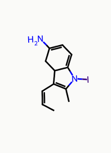 C/C=C\C1=C(C)N(I)C2=CC=C(N)CC21